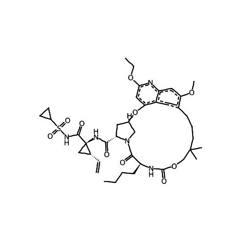 C=C[C@@H]1C[C@]1(NC(=O)[C@@H]1C[C@@H]2CN1C(=O)[C@H](CCCC)NC(=O)OCC(C)(C)CCCc1cc3c(cc(OCC)nc3cc1OC)O2)C(=O)NS(=O)(=O)C1CC1